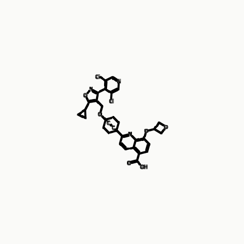 O=C(O)c1ccc(OC2COC2)c2nc(C34CCC(OCc5c(-c6c(Cl)cncc6Cl)noc5C5CC5)(CC3)CC4)ccc12